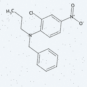 CCCN(Cc1ccccc1)c1ccc([N+](=O)[O-])cc1Cl